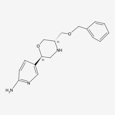 Nc1ccc([C@@H]2CN[C@@H](COCc3ccccc3)CO2)cn1